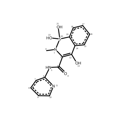 CN1C(C(=O)Nc2ccccn2)=C(O)c2ccccc2S1(O)O